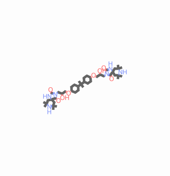 CC1(C)CC2(CC(C)(C)N1)NC(=O)N(CC(O)COC1CCC(C(C)(C)C3CCC(OCC(O)CN4C(=O)NC5(CC(C)(C)NC(C)(C)C5)C4=O)CC3)CC1)C2=O